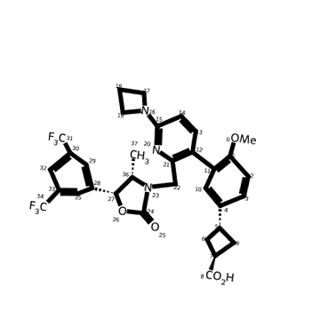 COc1ccc([C@H]2C[C@H](C(=O)O)C2)cc1-c1ccc(N2CCC2)nc1CN1C(=O)O[C@H](c2cc(C(F)(F)F)cc(C(F)(F)F)c2)[C@@H]1C